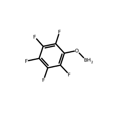 BOc1c(F)c(F)c(F)c(F)c1F